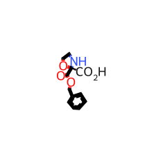 O=C(O)[C@]1(C(=O)OCc2ccccc2)NCCO1